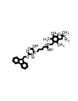 Cc1c(C)c2c(c(C)c1CNC(=N)CCCC[C@H](NC(=O)OCC1c3ccccc3-c3ccccc31)C(=O)O)CC(C)(C)O2